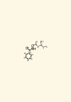 CCC(F)CC(C)ONC(=O)c1ccccc1